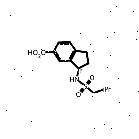 CC(C)CS(=O)(=O)N[C@@H]1CCc2ccc(C(=O)O)cc21